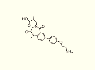 CC(CN1CC(=O)N(C)c2ccc(-c3ccc(OCCN)cc3)cc2C1=O)C(=O)O